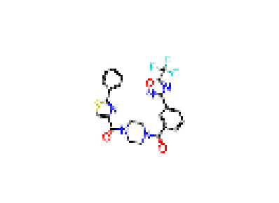 O=C(c1cccc(-c2noc(C(F)(F)F)n2)c1)N1CCN(C(=O)c2csc(-c3ccccc3)n2)CC1